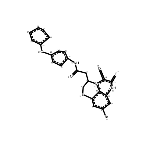 O=C(CC1CSc2cc(Br)cc3[nH]c(=O)c(=O)n1c23)Nc1ccc(Oc2ccccc2)cc1